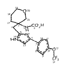 O=C(O)NC1(Cc2nc(-c3ccc(OC(F)(F)F)cc3)c[nH]2)CCCOC1